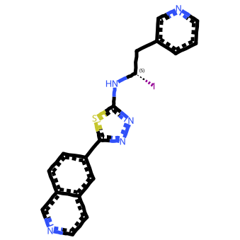 I[C@@H](Cc1cccnc1)Nc1nnc(-c2ccc3cnccc3c2)s1